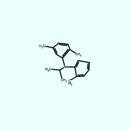 Cc1ccc(C)c(N(c2ccccc2C)C(C)C)c1